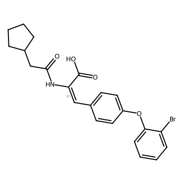 O=C(CC1CCCC1)N/C(=C/c1ccc(Oc2ccccc2Br)cc1)C(=O)O